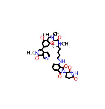 COc1cc(-c2cn(C)c(=O)c3cnccc23)cc(OC)c1CN(C)CC(=O)N(C)CCCCCNc1cccc2c1C(=O)N(C1CCC(=O)NC1=O)C2=O